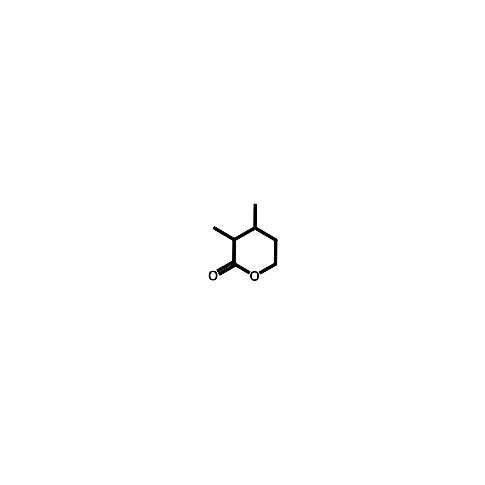 CC1CCOC(=O)C1C